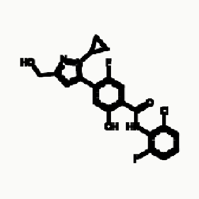 O=C(Nc1c(F)cccc1Cl)c1cc(F)c(-c2cc(CO)nn2C2CC2)cc1O